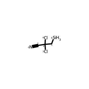 N#CC(Cl)(Cl)C[SiH3]